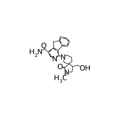 CN1CC(CO)C2(CCCN(c3ncc(C(N)=O)c4c3-c3ccccc3C4)C2)C1=O